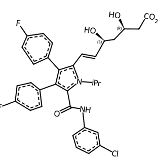 CC(C)n1c(C=C[C@@H](O)C[C@@H](O)CC(=O)O)c(-c2ccc(F)cc2)c(-c2ccc(F)cc2)c1C(=O)Nc1cccc(Cl)c1